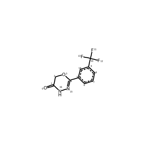 O=C1COC(c2cccc(C(F)(F)F)c2)=NN1